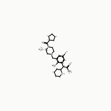 Cc1c(CN2CCN(C(=O)C3CCCC3)[C@@H](C)C2)cc(F)cc1C(C(N)=O)C1CCCCO1